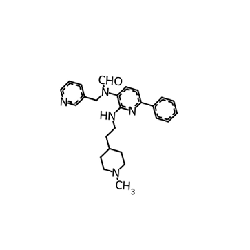 CN1CCC(CCNc2nc(-c3ccccc3)ccc2N(C=O)Cc2cccnc2)CC1